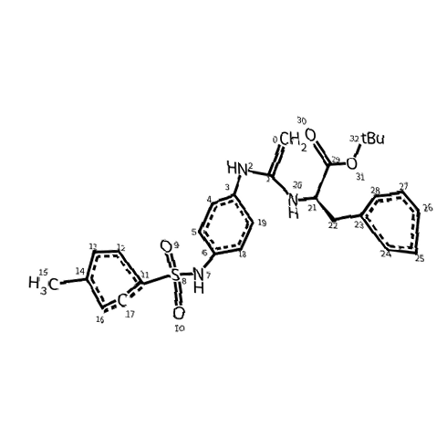 C=C(Nc1ccc(NS(=O)(=O)c2ccc(C)cc2)cc1)N[C@H](Cc1ccccc1)C(=O)OC(C)(C)C